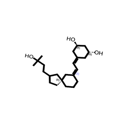 CC(C)(O)CCC1CC[C@]2(CCC/C(=C/C=C3C[C@@H](O)C[C@H](O)C3)C2)C1